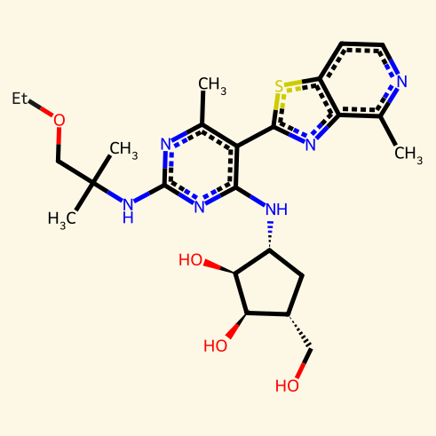 CCOCC(C)(C)Nc1nc(C)c(-c2nc3c(C)nccc3s2)c(N[C@@H]2C[C@H](CO)[C@@H](O)[C@H]2O)n1